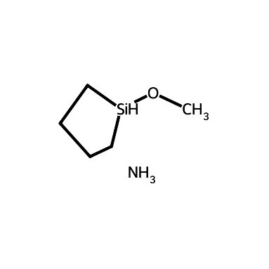 CO[SiH]1CCCC1.N